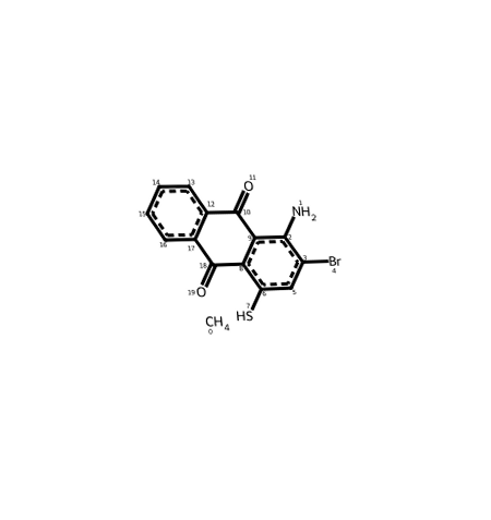 C.Nc1c(Br)cc(S)c2c1C(=O)c1ccccc1C2=O